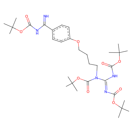 CC(C)(C)OC(=O)/N=C(\NC(=O)OC(C)(C)C)N(CCCCOc1ccc(C(=N)NC(=O)OC(C)(C)C)cc1)C(=O)OC(C)(C)C